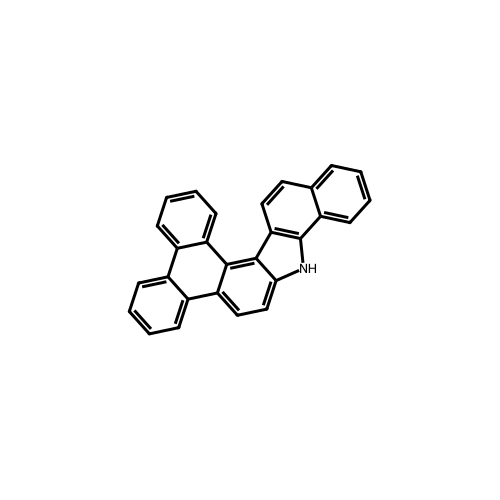 c1ccc2c(c1)ccc1c2[nH]c2ccc3c4ccccc4c4ccccc4c3c21